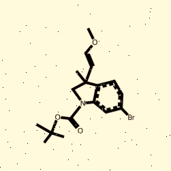 COC=CC1(C)CN(C(=O)OC(C)(C)C)c2cc(Br)ccc21